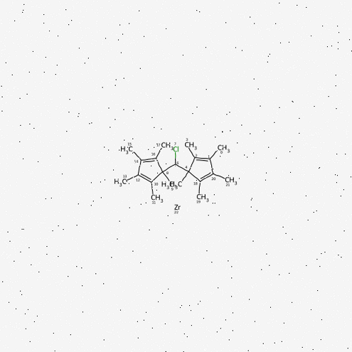 CC1=C(C)C(C)([C](Cl)C2(C)C(C)=C(C)C(C)=C2C)C(C)=C1C.[Zr]